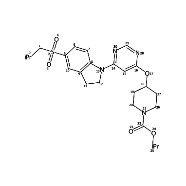 CC(C)CS(=O)(=O)c1ccc2c(c1)CCN2c1cc(OC2CCN(C(=O)OC(C)C)CC2)ncn1